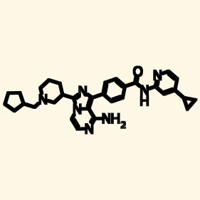 Nc1nccn2c(C3CCCN(CC4CCCC4)C3)nc(-c3ccc(C(=O)Nc4cc(C5CC5)ccn4)cc3)c12